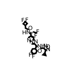 O=C(CC1CC(F)(F)C1)N[C@H](CC(F)F)c1cnn2cc([C@@H](NC(=O)c3nonc3C3CC3)C3CCC(F)(F)CC3)nc2c1